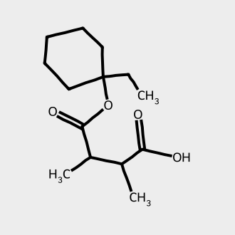 CCC1(OC(=O)C(C)C(C)C(=O)O)CCCCC1